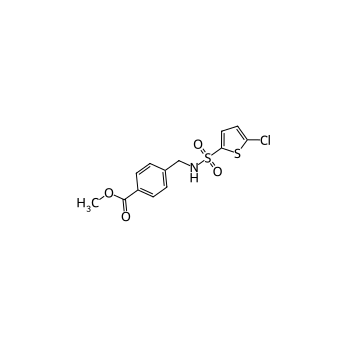 COC(=O)c1ccc(CNS(=O)(=O)c2ccc(Cl)s2)cc1